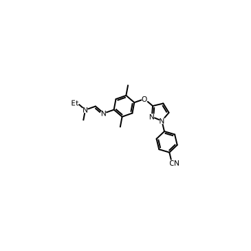 CCN(C)C=Nc1cc(C)c(Oc2ccn(-c3ccc(C#N)cc3)n2)cc1C